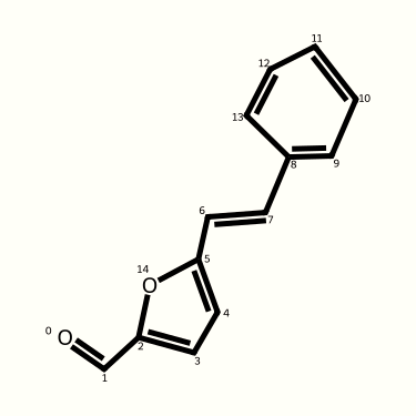 O=Cc1ccc(C=Cc2ccccc2)o1